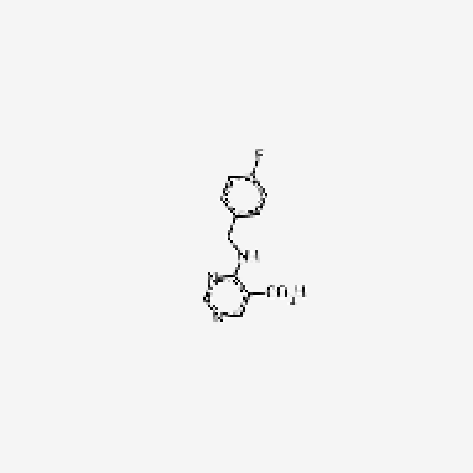 O=C(O)c1cncnc1NCc1ccc(F)cc1